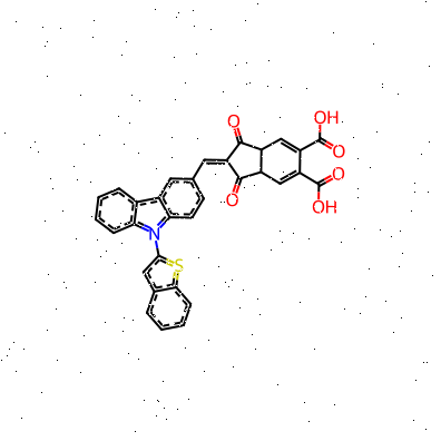 O=C(O)C1=CC2C(=O)C(=Cc3ccc4c(c3)c3ccccc3n4-c3cc4ccccc4s3)C(=O)C2C=C1C(=O)O